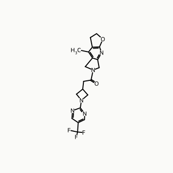 Cc1c2c(nc3c1CCO3)CN(C(=O)CC1CN(c3ncc(C(F)(F)F)cn3)C1)C2